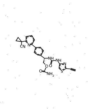 C#Cc1nc(NC(=O)N[C@@H](COC(N)=O)c2ccc(-c3cccc(C4(C#N)CC4)n3)cc2)cs1